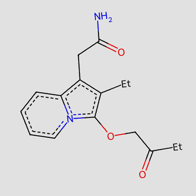 CCC(=O)COc1c(CC)c(CC(N)=O)c2ccccn12